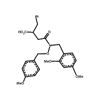 COc1ccc(CON(Cc2ccc(OC)cc2OC)C(=O)CC(CC(C)C)C(=O)O)cc1